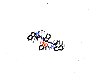 CCCN1/C(=C/C=C2C(S(=O)(=O)c3ccccc3)=C(/C=C/C3=[N+](CCC)c4ccc5ccccc5c4C3(C)C)c3ccccc3/2)C(C)(C)c2c1ccc1ccccc21